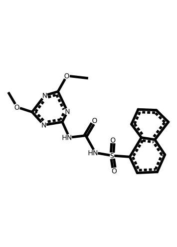 COc1nc(NC(=O)NS(=O)(=O)c2cccc3ccccc23)nc(OC)n1